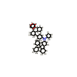 c1ccc(-c2ccccc2-c2c(-c3ccccc3)cccc2-c2ccc(N(c3ccccc3)c3ccc4c(c3)C(c3ccccc3)(c3ccccc3)c3ccccc3-4)cc2)cc1